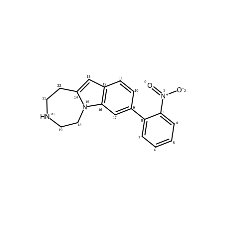 O=[N+]([O-])c1ccccc1-c1ccc2cc3n(c2c1)CCNCC3